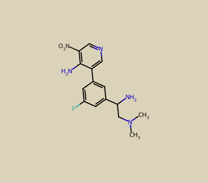 CN(C)CC(N)c1cc(F)cc(-c2cncc([N+](=O)[O-])c2N)c1